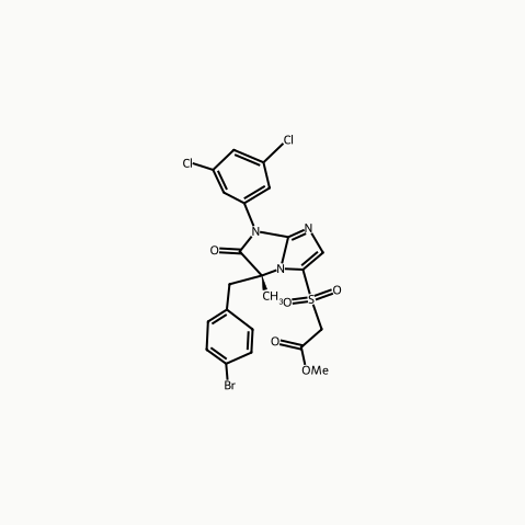 COC(=O)CS(=O)(=O)c1cnc2n1[C@](C)(Cc1ccc(Br)cc1)C(=O)N2c1cc(Cl)cc(Cl)c1